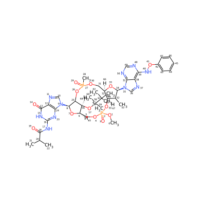 COP1(=O)OC[C@H]2O[C@@H](n3cnc4c(=O)[nH]c(NC(=O)C(C)C)nc43)C(OP(C)(=O)OC[C@H]3O[C@@H](n4cnc5c(NOc6ccccc6)ncnc54)C(C)[C@H]3O1)[C@H]2O[Si](C)(C)C(C)(C)C